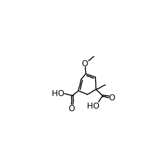 COC1=CC(C)(C(=O)O)CC(C(=O)O)=C1